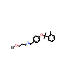 CCOCCCN=Cc1ccc(OC(C)(C)c2ccccc2C)cc1